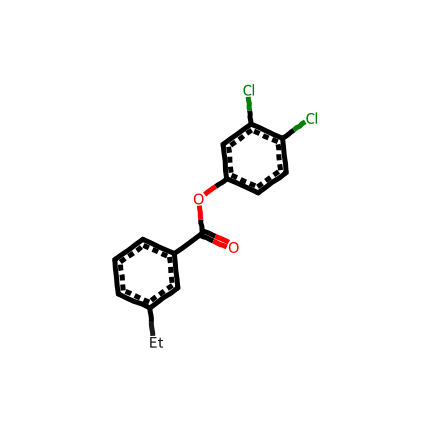 CCc1cccc(C(=O)Oc2ccc(Cl)c(Cl)c2)c1